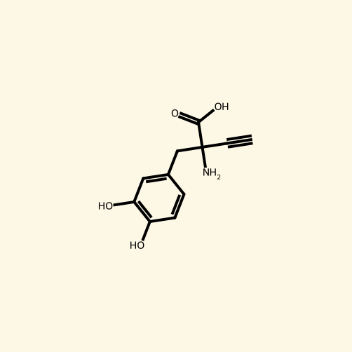 C#CC(N)(Cc1ccc(O)c(O)c1)C(=O)O